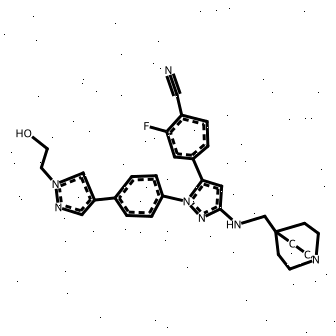 N#Cc1ccc(-c2cc(NCC34CCN(CC3)CC4)nn2-c2ccc(-c3cnn(CCO)c3)cc2)cc1F